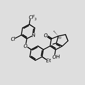 CCc1ccc(Oc2ncc(C(F)(F)F)cc2Cl)cc1C1=C(O)C2=C(C)[C@](C)(CC2)C1=O